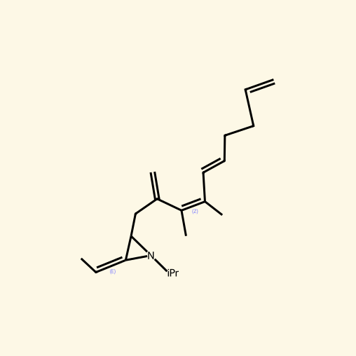 C=CCCC=C/C(C)=C(/C)C(=C)CC1/C(=C\C)N1C(C)C